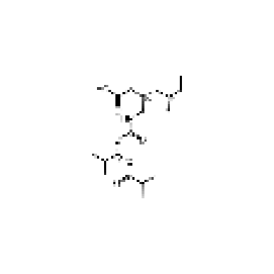 CC[C@@H](C)C[C@H](CNC(=O)O[C@H](OC(=O)C(C)C)C(C)C)CC(=O)O